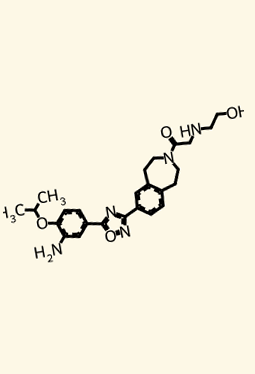 CC(C)Oc1ccc(-c2nc(-c3ccc4c(c3)CCN(C(=O)CNCCO)CC4)no2)cc1N